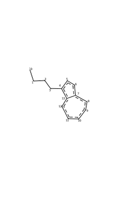 [CH2]CCCc1ccc2cccccc1-2